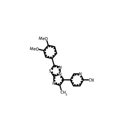 COc1ccc(-c2nn3c(-c4ccc(C#N)nc4)c(C)nc3s2)cc1OC